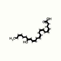 CC/C=C\CC/C(O)=C/C=C\C/C=C\C/C=C\C/C=C\CCC(=O)O